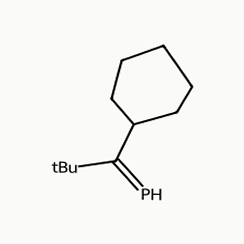 CC(C)(C)C(=P)C1CCCCC1